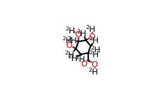 [2H]OC(=O)C1([2H])C([2H])([2H])C([2H])(O[2H])C([2H])(O[2H])C([2H])(O[2H])C1([2H])[2H]